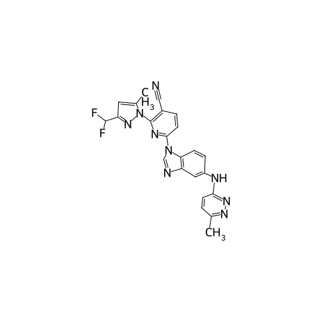 Cc1ccc(Nc2ccc3c(c2)ncn3-c2ccc(C#N)c(-n3nc(C(F)F)cc3C)n2)nn1